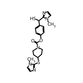 Cn1ccnc1SC1CCN(C(=O)Oc2ccc(C(S)c3nccn3C)cc2)CC1